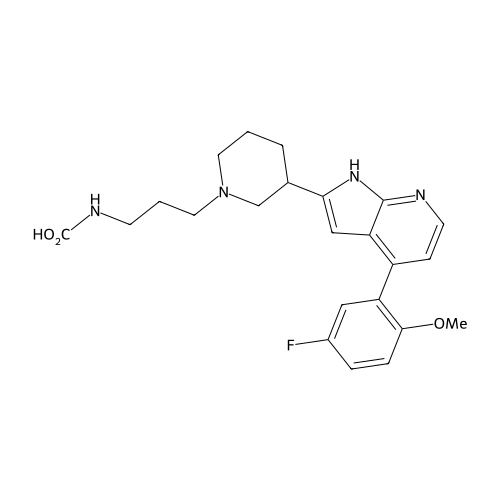 COc1ccc(F)cc1-c1ccnc2[nH]c(C3CCCN(CCCNC(=O)O)C3)cc12